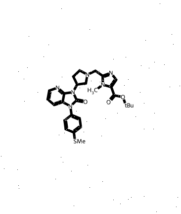 CSc1ccc(-n2c(=O)n(C3CCN(Cc4ncc(C(=O)OC(C)(C)C)n4C)C3)c3ncccc32)cc1